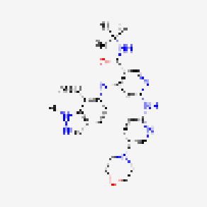 [2H]C([2H])([2H])NC(=O)c1cnc(Nc2ccc(N3CCOCC3)cn2)cc1Nc1ccc2cnn(CC)c2c1OC